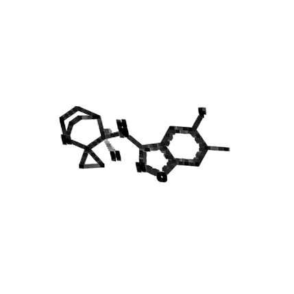 Cc1cc2onc(N[C@@H]3C4CCN(CC4)C34CC4)c2cc1F